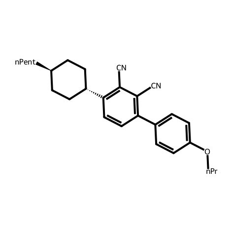 CCCCC[C@H]1CC[C@H](c2ccc(-c3ccc(OCCC)cc3)c(C#N)c2C#N)CC1